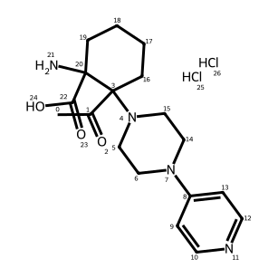 CC(=O)C1(N2CCN(c3ccncc3)CC2)CCCCC1(N)C(=O)O.Cl.Cl